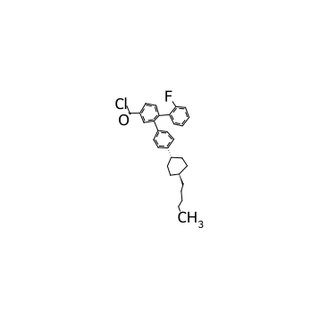 CCCCC[C@H]1CC[C@H](c2ccc(-c3cc(C(=O)Cl)ccc3-c3ccccc3F)cc2)CC1